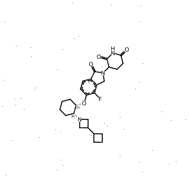 O=C1CCC(N2Cc3c(ccc(O[C@H]4CCCC[C@H]4N4CC(C5CCC5)C4)c3F)C2=O)C(=O)N1